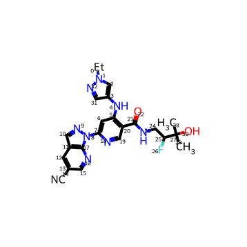 CCn1cc(Nc2cc(-n3ncc4cc(C#N)cnc43)ncc2C(=O)NCC(F)C(C)(C)O)cn1